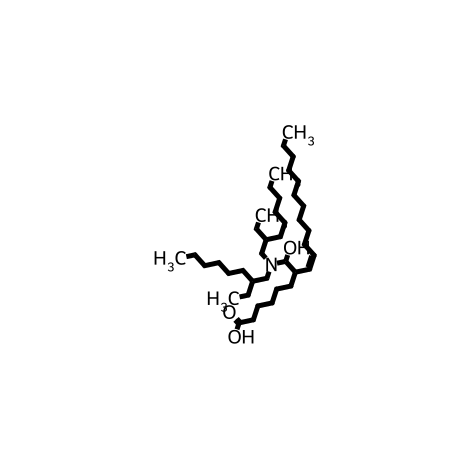 CCCCCCCCCC/C=C\C(CCCCCC(=O)O)C(O)N(CC(CC)CCCCCC)CC(CC)CCCCCC